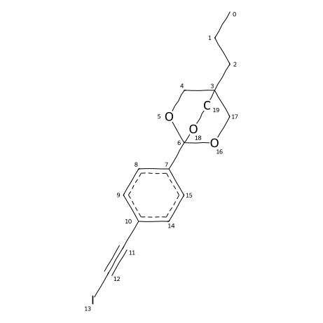 CCCC12COC(c3ccc(C#CI)cc3)(OC1)OC2